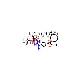 CC1(C)CCCCCCC(C)(OC(=O)c2ccc(N/C(=N/C(=O)OC(C)(C)C)NC(=O)OC(C)(C)C)cc2)CC1